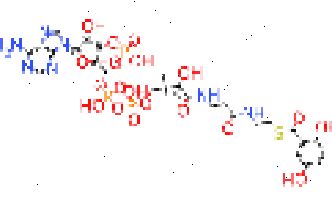 CC(C)(COP(=O)(O)OP(=O)(O)OC[C@H]1O[C@@H](n2cnc3c(N)ncnc32)[C@H](O)[C@@H]1OP(=O)(O)O)[C@@H](O)C(=O)NCCC(=O)NCCSC(=O)c1cc(O)ccc1O